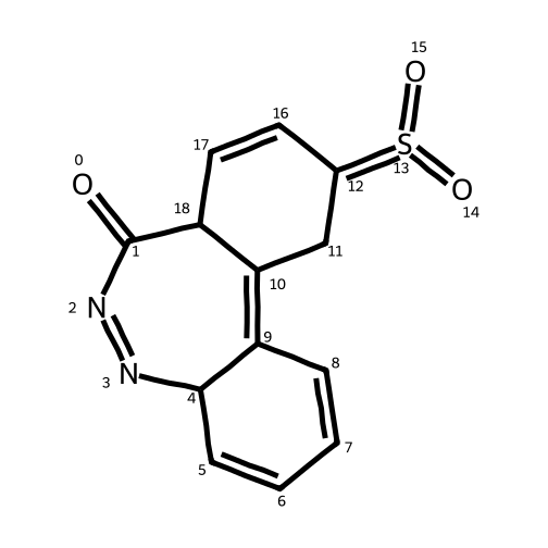 O=C1N=NC2C=CC=CC2=C2CC(=S(=O)=O)C=CC12